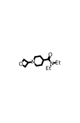 CCN(CC)C(=O)C1CCN(C2COC2)CC1